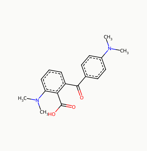 CN(C)c1ccc(C(=O)c2cccc(N(C)C)c2C(=O)O)cc1